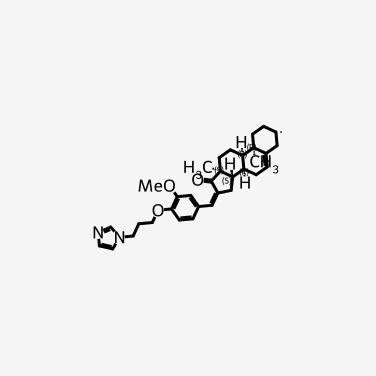 COc1cc(C=C2C[C@H]3[C@@H]4CC=C5C[CH]CC[C@]5(C)[C@@H]4CC[C@]3(C)C2=O)ccc1OCCCn1ccnc1